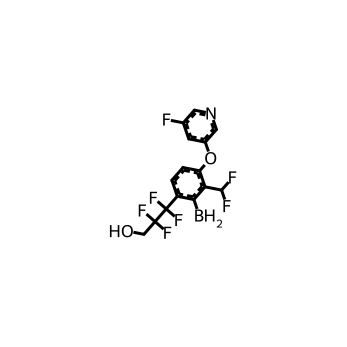 Bc1c(C(F)(F)C(F)(F)CO)ccc(Oc2cncc(F)c2)c1C(F)F